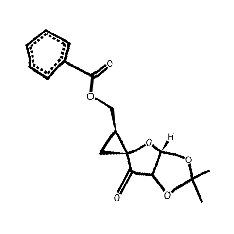 CC1(C)OC2C(=O)[C@@]3(C[C@H]3COC(=O)c3ccccc3)O[C@@H]2O1